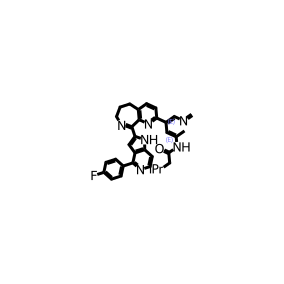 C=N/C=C(\C=C(/C)NC(=O)CC(C)C)c1ccc2c(n1)C(c1cc3c(-c4ccc(F)cc4)nccc3[nH]1)=NCCC2